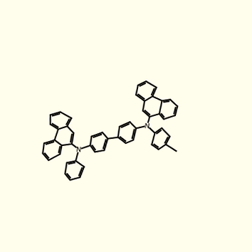 Cc1ccc(N(c2ccc(-c3ccc(N(c4ccccc4)c4cc5ccccc5c5ccccc45)cc3)cc2)c2cc3ccccc3c3ccccc23)cc1